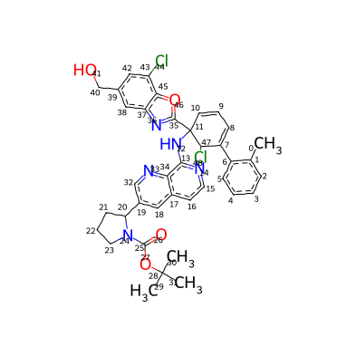 Cc1ccccc1C1=CC=CC(Nc2nccc3cc(C4CCCN4C(=O)OC(C)(C)C)cnc23)(c2nc3cc(CO)cc(Cl)c3o2)C1Cl